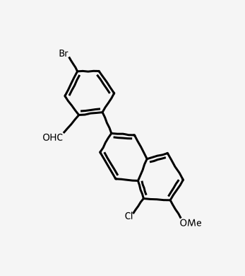 COc1ccc2cc(-c3ccc(Br)cc3C=O)ccc2c1Cl